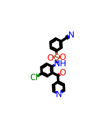 N#Cc1cccc(S(=O)(=O)Nc2ccc(Cl)cc2C(=O)c2ccncc2)c1